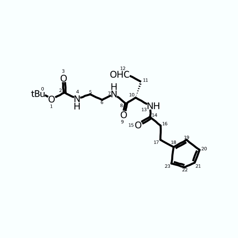 CC(C)(C)OC(=O)NCCNC(=O)[C@H](CC=O)NC(=O)CCc1ccccc1